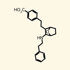 O=C(O)c1ccc(CCC2C3CCC(O3)C2NCCc2ccccc2)cc1